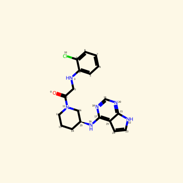 O=C(CNc1ccccc1Cl)N1CCC[C@H](Nc2ncnc3[nH]ccc23)C1